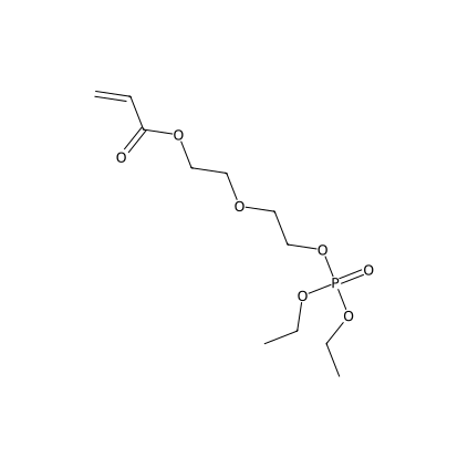 C=CC(=O)OCCOCCOP(=O)(OCC)OCC